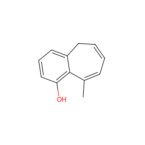 CC1=CC=CCc2cccc(O)c21